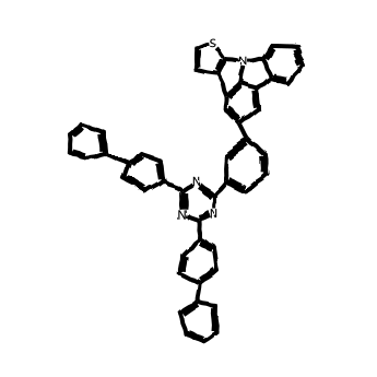 c1ccc(-c2ccc(-c3nc(-c4ccc(-c5ccccc5)cc4)nc(-c4cccc(-c5cc6c7ccccc7n7c8sccc8c(c5)c67)c4)n3)cc2)cc1